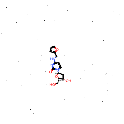 O=c1nc(NCc2ccco2)ccn1[C@H]1C[C@H](O)[C@@H](CO)O1